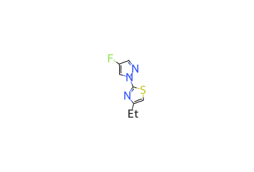 CCc1csc(-n2cc(F)cn2)n1